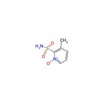 Cc1ccc[n+]([O-])c1S(N)(=O)=O